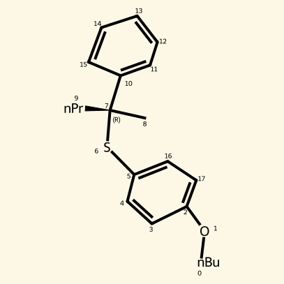 CCCCOc1ccc(S[C@](C)(CCC)c2ccccc2)cc1